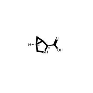 O=C(O)[C@H]1NC[C@H]2CC21